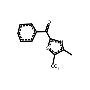 Cc1nc(C(=O)c2ccccc2)sc1C(=O)O